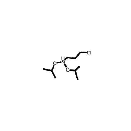 CC(C)O[SiH](CCCCl)OC(C)C